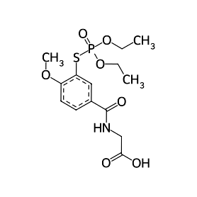 CCOP(=O)(OCC)Sc1cc(C(=O)NCC(=O)O)ccc1OC